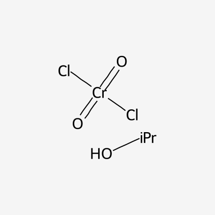 CC(C)O.[O]=[Cr](=[O])([Cl])[Cl]